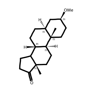 CO[C@H]1CC[C@@]2(C)[C@@H](CC[C@H]3C4CCC(=O)[C@@]4(C)CC[C@@H]32)C1